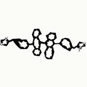 c1ccc2c(-c3c4ccccc4c(-c4ccc(-c5cocn5)cc4)c4ccccc34)c3ccccc3c(-c3ccc(-c4cocn4)cc3)c2c1